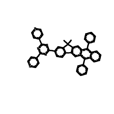 CC1(C)c2cc(-c3nc(-c4ccncc4)nc(-c4ccncc4)n3)ccc2-c2cc3c(-c4ccccc4)c4ccccc4c(-c4ccccc4)c3cc21